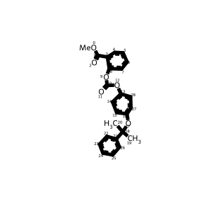 COC(=O)c1ccccc1OC(=O)Oc1ccc(OC(C)(C)c2ccccc2)cc1